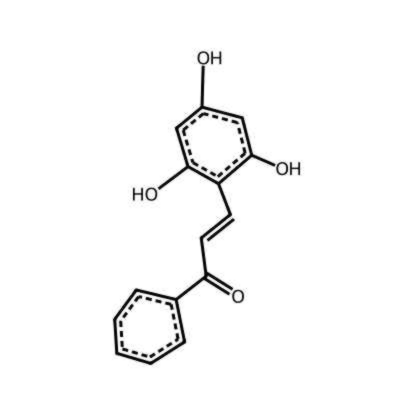 O=C(/C=C/c1c(O)cc(O)cc1O)c1ccccc1